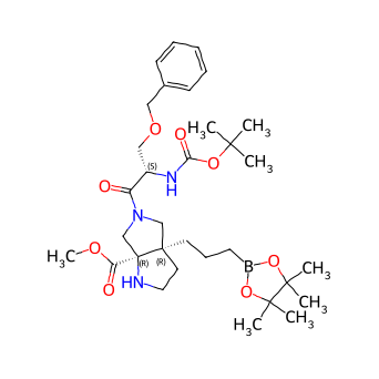 COC(=O)[C@]12CN(C(=O)[C@H](COCc3ccccc3)NC(=O)OC(C)(C)C)C[C@@]1(CCCB1OC(C)(C)C(C)(C)O1)CCN2